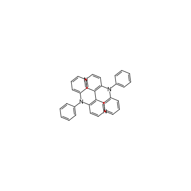 c1ccc(N(c2ccccc2)c2ccncc2-c2cnccc2N(c2ccccc2)c2ccccc2)cc1